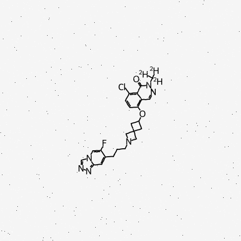 [2H]C([2H])([2H])n1ncc2c(OC3CC4(C3)CN(CCCc3cc5nncn5cc3F)C4)ccc(Cl)c2c1=O